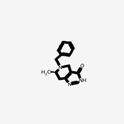 C[C@@H]1Cc2nc[nH]c(=O)c2CN1Cc1ccccc1